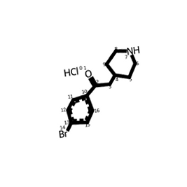 Cl.O=C(CC1CCNCC1)c1ccc(Br)cc1